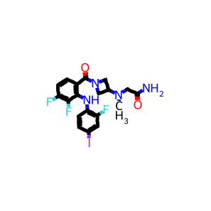 CN(CC(N)=O)C1CN(C(=O)c2ccc(F)c(F)c2Nc2ccc(I)cc2F)C1